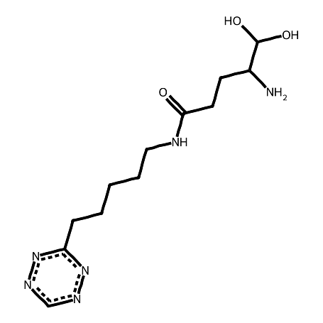 NC(CCC(=O)NCCCCCc1nncnn1)C(O)O